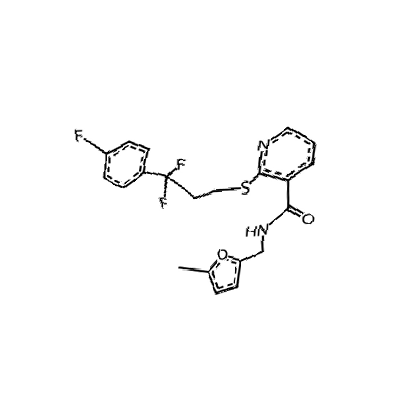 Cc1ccc(CNC(=O)c2cccnc2SCCC(F)(F)c2ccc(F)cc2)o1